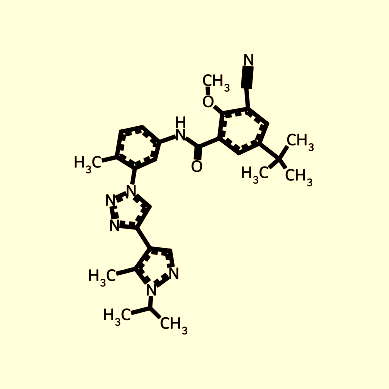 COc1c(C#N)cc(C(C)(C)C)cc1C(=O)Nc1ccc(C)c(-n2cc(-c3cnn(C(C)C)c3C)nn2)c1